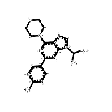 CC(C(=O)O)n1cnc2c(N3CCOCC3)nc(-c3cnc(N)nc3)nc21